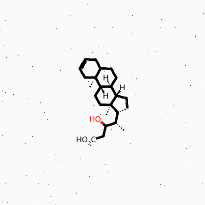 C[C@H](C(O)CC(=O)O)[C@H]1CC[C@H]2[C@@H]3CCC4CC=CC[C@]4(C)[C@H]3CC[C@]12C